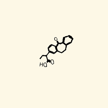 CCC(C(=O)O)c1ccc2c(c1)CCc1ccccc1C2=O